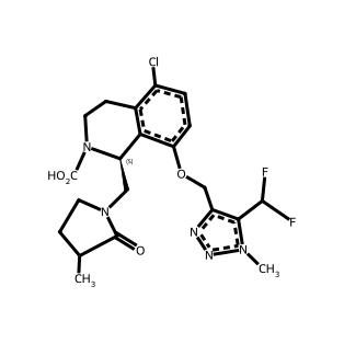 CC1CCN(C[C@@H]2c3c(OCc4nnn(C)c4C(F)F)ccc(Cl)c3CCN2C(=O)O)C1=O